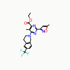 CCOC(=O)c1nc(-c2cc(C)on2)nc(N2CCc3cc(C(F)(F)F)ccc3C2)c1C